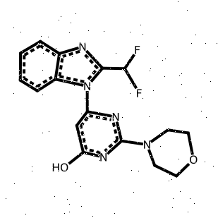 Oc1cc(-n2c(C(F)F)nc3ccccc32)nc(N2CCOCC2)n1